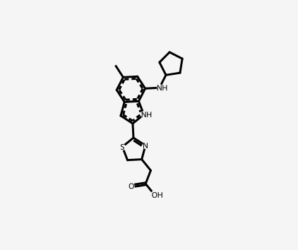 Cc1cc(NC2CCCC2)c2[nH]c(C3=NC(CC(=O)O)CS3)cc2c1